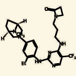 CCc1cc(N2C[C@H]3CC[C@@H](C2)N3C)ccc1Nc1ncc(C(F)(F)F)c(NCCCN2CCC2=O)n1